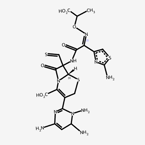 CC(O/N=C(\C(=O)NC1(C=S)C(=O)N2C(C(=O)O)=C(C3=NC(N)=CC(N)N3N)CS[C@H]21)c1csc(N)n1)C(=O)O